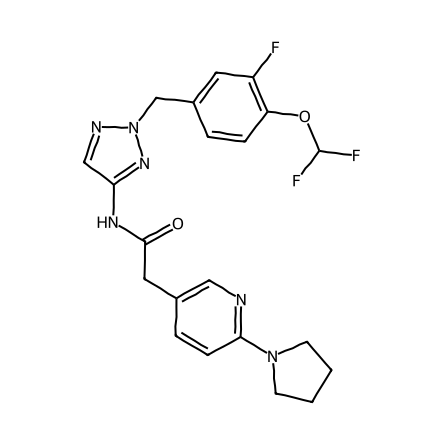 O=C(Cc1ccc(N2CCCC2)nc1)Nc1cnn(Cc2ccc(OC(F)F)c(F)c2)n1